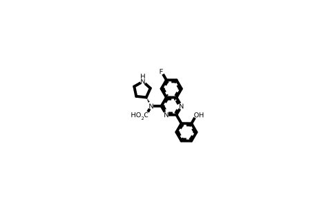 O=C(O)N(c1nc(-c2ccccc2O)nc2ccc(F)cc12)[C@@H]1CCNC1